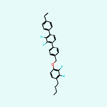 CCCCc1ccc(OCc2ccc(-c3ccc(-c4ccc(CC)cc4)c(F)c3F)cc2)c(F)c1F